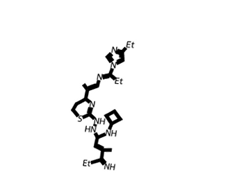 CCC(=N)/C(C)=C/C(NNC1=NC(/C(C)=C/N=C(\CC)n2cnc(CC)c2)CCS1)NC1CCC1